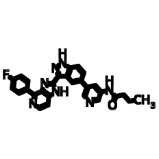 CCCC(=O)Nc1cncc(-c2ccc3[nH]nc(-c4nc5c(-c6ccc(F)cc6)nccc5[nH]4)c3c2)c1